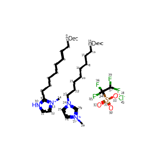 CCCCCCCCCCCCCCCCCCc1[nH]cc[n+]1C.CCCCCCCCCCCCCCCCCCn1cc[n+](C)c1.O=S(=O)([O-])C(F)(F)C(F)F.[Cl-]